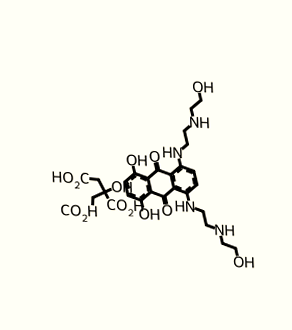 O=C(O)CC(O)(CC(=O)O)C(=O)O.O=C1c2c(O)ccc(O)c2C(=O)c2c(NCCNCCO)ccc(NCCNCCO)c21